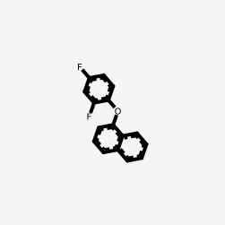 Fc1ccc(Oc2cccc3ccccc23)c(F)c1